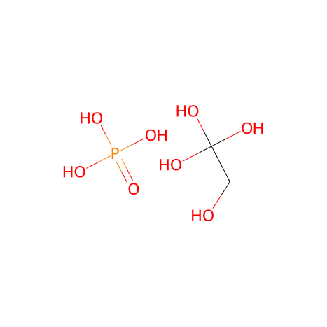 O=P(O)(O)O.OCC(O)(O)O